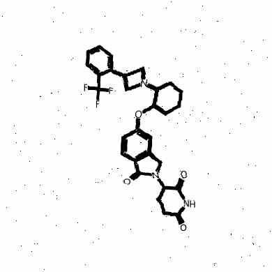 O=C1CCC(N2Cc3cc(OC4CCCCC4N4CC(c5ccccc5C(F)(F)F)C4)ccc3C2=O)C(=O)N1